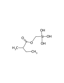 CCC(C)C(=O)OC[Si](O)(O)O